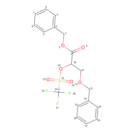 O=C(OCc1ccccc1)C(COCc1ccccc1)OS(=O)(=O)C(F)(F)F